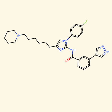 O=C(Nc1nc(CCCCCCN2CCCCC2)cn1-c1ccc(F)cc1)c1cccc(-c2cn[nH]c2)c1